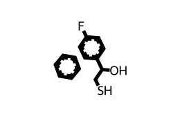 OC(CS)c1ccc(F)cc1.c1ccccc1